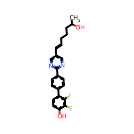 CC(O)CCCC=Cc1cnc(-c2ccc(-c3ccc(O)c(F)c3F)cc2)nc1